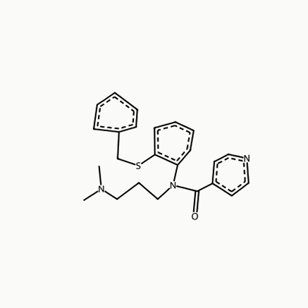 CN(C)CCCN(C(=O)c1ccncc1)c1ccccc1SCc1ccccc1